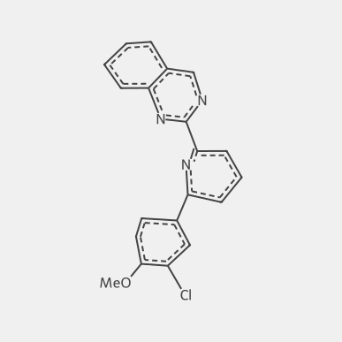 COc1ccc(-c2cccc(-c3ncc4ccccc4n3)n2)cc1Cl